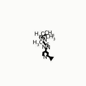 C/C(=N\[S+]([O-])C(C)(C)C)c1nc(-c2ccnc(C3CC3)c2)ns1